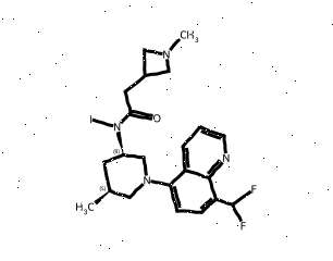 C[C@H]1C[C@@H](N(I)C(=O)CC2CN(C)C2)CN(c2ccc(C(F)F)c3ncccc23)C1